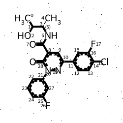 CC(O)[C@H](C)NC(=O)c1cc(-c2ccc(Cl)c(F)c2)nn(-c2cccc(F)c2)c1=O